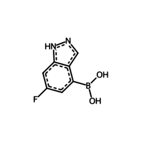 OB(O)c1cc(F)cc2[nH]ncc12